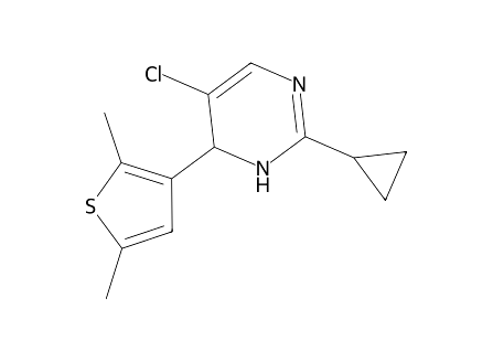 Cc1cc(C2NC(C3CC3)=NC=C2Cl)c(C)s1